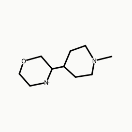 CN1CCC(C2COCC[N]2)CC1